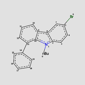 CCCCn1c2ccc(Br)cc2c2cccc(-c3[c]cccc3)c21